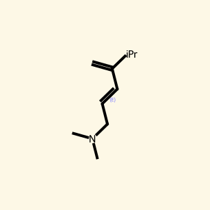 C=C(/C=C/CN(C)C)C(C)C